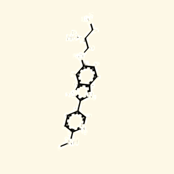 CNc1ccc(-c2nc3ccc(OC[C@H](O)C[18F])cc3s2)cn1